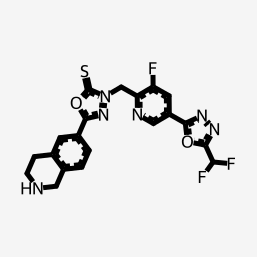 Fc1cc(-c2nnc(C(F)F)o2)cnc1Cn1nc(-c2ccc3c(c2)CCNC3)oc1=S